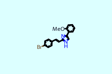 COc1ccccc1-c1c[nH]c(C=Cc2ccc(Br)cc2)n1